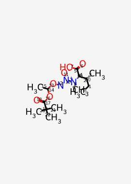 CC[C@@H](C)[C@@H](C(=O)O)N(C)[N+]([O-])=NOC(C)OC(=O)C(C)(C)C